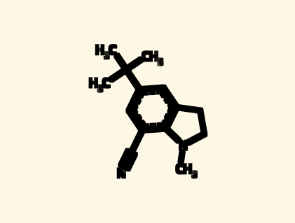 CN1CCc2cc(C(C)(C)C)cc(C#N)c21